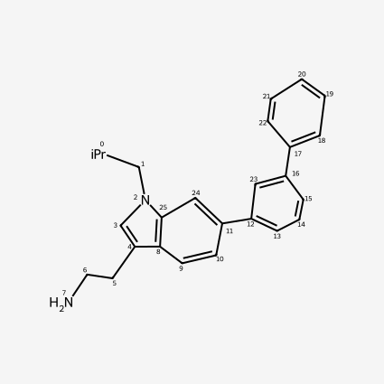 CC(C)Cn1cc(CCN)c2ccc(-c3cccc(-c4ccccc4)c3)cc21